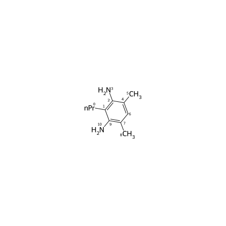 CCCc1c(N)c(C)cc(C)c1N